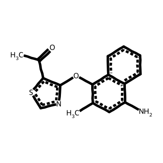 CC(=O)c1scnc1Oc1c(C)cc(N)c2ccccc12